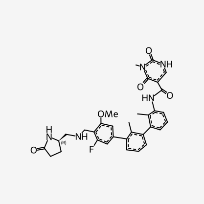 COc1cc(-c2cccc(-c3cccc(NC(=O)c4c[nH]c(=O)n(C)c4=O)c3C)c2C)cc(F)c1CNC[C@H]1CCC(=O)N1